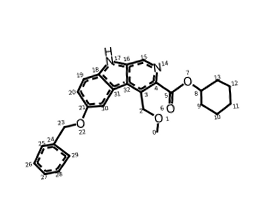 COCc1c(C(=O)OC2CCCCC2)ncc2[nH]c3ccc(OCc4ccccc4)cc3c12